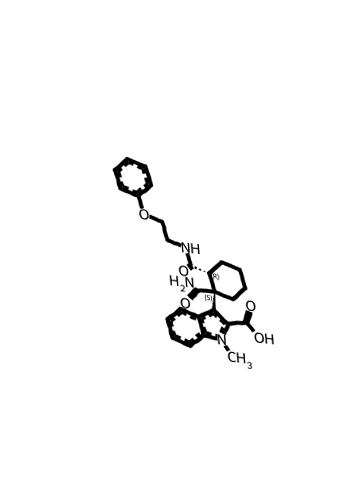 Cn1c(C(=O)O)c([C@]2(C(N)=O)CCCC[C@H]2C(=O)NCCOc2ccccc2)c2ccccc21